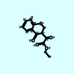 CCOC(=O)C(=O)C1CSc2ncccc2C1=O